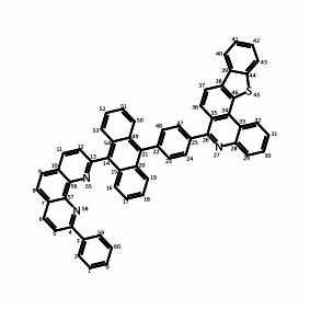 c1ccc(-c2ccc3ccc4ccc(-c5c6ccccc6c(-c6ccc(-c7nc8ccccc8c8c7ccc7c9ccccc9sc78)cc6)c6ccccc56)nc4c3n2)cc1